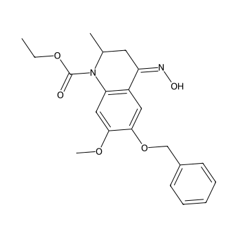 CCOC(=O)N1c2cc(OC)c(OCc3ccccc3)cc2/C(=N\O)CC1C